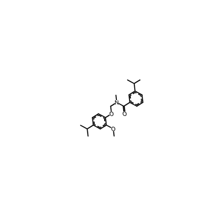 COc1cc(C(C)C)ccc1OCN(C)C(=O)c1cccc(C(C)C)c1